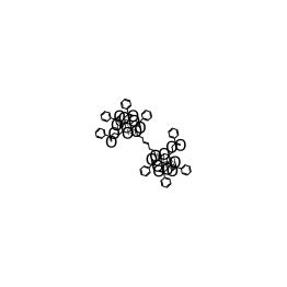 O=C(OCC1O[C@H](OCCC=CCCO[C@@H]2OC(COC(=O)c3ccccc3)[C@H](OC(=O)c3ccccc3)[C@@H](OC(=O)c3ccccc3)C2OC(=O)c2ccccc2)C(OC(=O)c2ccccc2)[C@H](OC(=O)c2ccccc2)[C@@H]1OC(=O)c1ccccc1)c1ccccc1